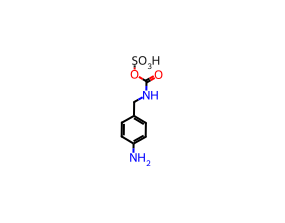 Nc1ccc(CNC(=O)OS(=O)(=O)O)cc1